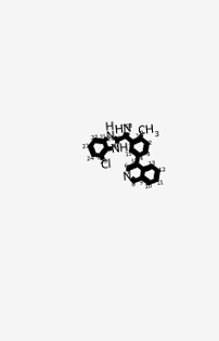 Cc1ccc(-c2cncc3ccccc23)cc1C(=N)C1Nc2cccc(Cl)c2N1